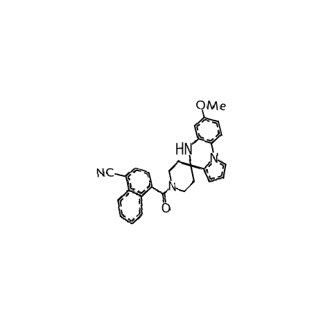 COc1ccc2c(c1)NC1(CCN(C(=O)c3ccc(C#N)c4ccccc34)CC1)c1cccn1-2